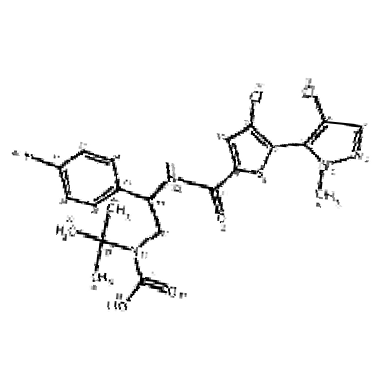 Cn1ncc(Cl)c1-c1sc(C(=O)NC(CN(C(=O)O)C(C)(C)C)c2ccc(F)cc2)cc1Cl